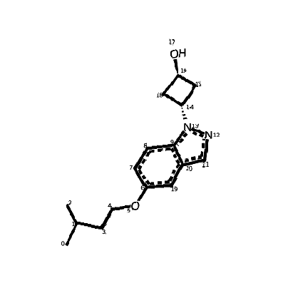 CC(C)CCOc1ccc2c(cnn2[C@H]2C[C@H](O)C2)c1